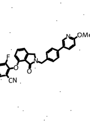 COc1ccc(-c2ccc(CN3Cc4cccc(Oc5c(F)cccc5C#N)c4C3=O)cc2)cn1